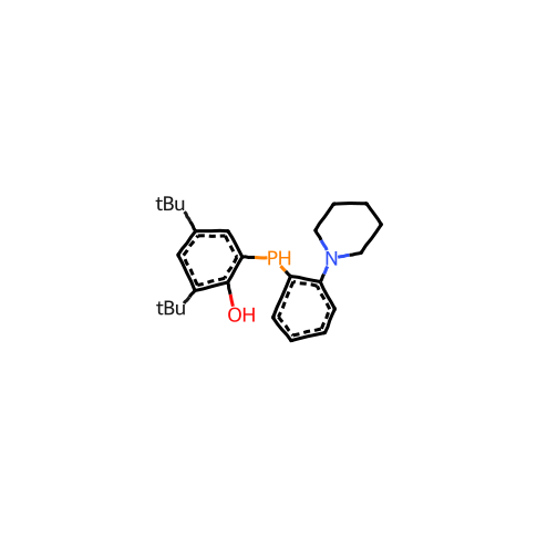 CC(C)(C)c1cc(Pc2ccccc2N2CCCCC2)c(O)c(C(C)(C)C)c1